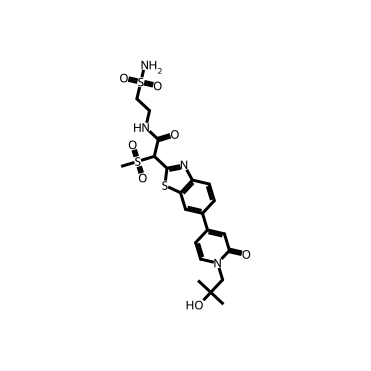 CC(C)(O)Cn1ccc(-c2ccc3nc(C(C(=O)NCCS(N)(=O)=O)S(C)(=O)=O)sc3c2)cc1=O